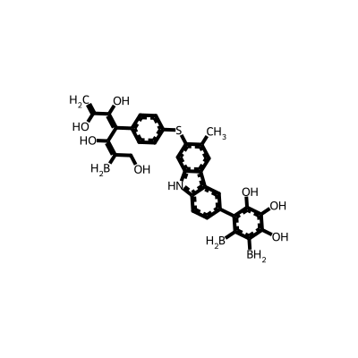 B/C(CO)=C(O)/C(=C(/O)C(=C)O)c1ccc(Sc2cc3[nH]c4ccc(-c5c(B)c(B)c(O)c(O)c5O)cc4c3cc2C)cc1